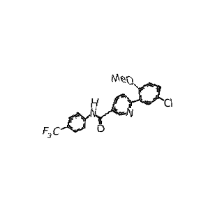 COc1ccc(Cl)cc1-c1ccc(C(=O)Nc2ccc(C(F)(F)F)cc2)cn1